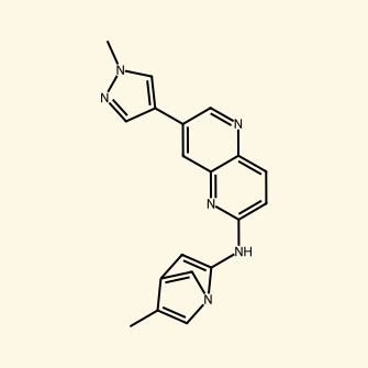 Cc1cn2cc1cc2Nc1ccc2ncc(-c3cnn(C)c3)cc2n1